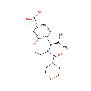 CC(C)[C@@H]1c2ccc(C(=O)O)cc2OCCN1C(=O)C1CCOCC1